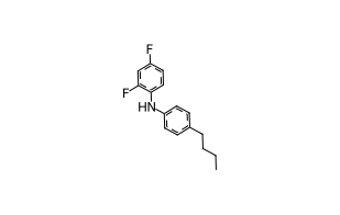 CCCCc1ccc(Nc2ccc(F)cc2F)cc1